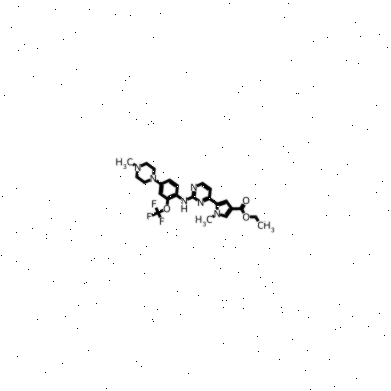 CCOC(=O)c1cc(-c2ccnc(Nc3ccc(N4CCN(C)CC4)cc3OC(F)(F)F)n2)n(C)c1